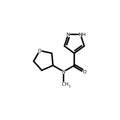 CN(C(=O)c1cn[nH]c1)C1CCOC1